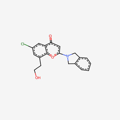 O=c1cc(N2Cc3ccccc3C2)oc2c(CCO)cc(Cl)cc12